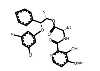 CC[C@H](NC(=O)c1nccc(OC)c1O)C(=O)O[C@@H](C)[C@H](Oc1cc(F)cc(Cl)c1)c1ccccc1